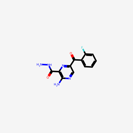 NNC(=O)c1nc(C(=O)c2ccccc2F)cnc1N